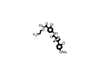 CCc1cc(NC(=O)c2ncc(-c3ccc(OC)cc3Cl)n2C)ccc1C(=O)N(CC)OCCN